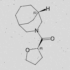 O=C([C@H]1CCCO1)N1CC2CCC[C@@H](CC2)C1